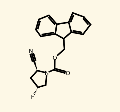 N#C[C@@H]1C[C@@H](F)CN1C(=O)OCC1c2ccccc2-c2ccccc21